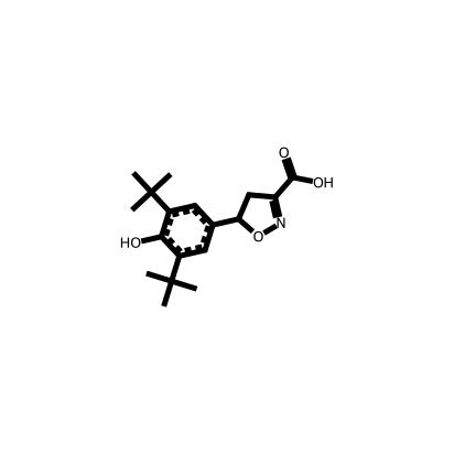 CC(C)(C)c1cc(C2CC(C(=O)O)=NO2)cc(C(C)(C)C)c1O